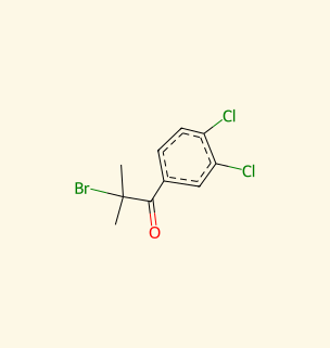 CC(C)(Br)C(=O)c1ccc(Cl)c(Cl)c1